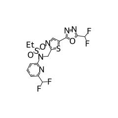 CCS(=O)(=O)N(Cc1ncc(-c2nnc(C(F)F)o2)s1)c1cccc(C(F)F)n1